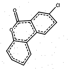 O=c1oc2ccccc2c2ccc(Cl)cc12